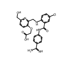 N=C(N)c1ccc(NC(=O)c2cc(Cl)ccc2NCc2nc(CO)ccc2OCC(=O)O)cc1